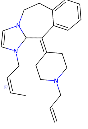 C=CCN1CCC(=C2c3ccccc3CCN3C=CN(C/C=C\C)C23)CC1